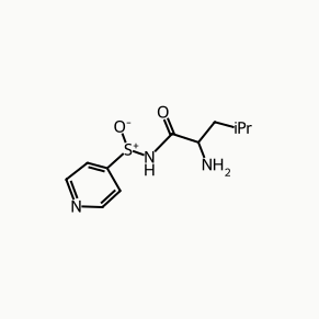 CC(C)CC(N)C(=O)N[S+]([O-])c1ccncc1